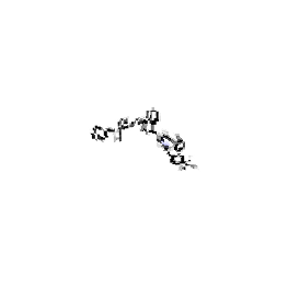 O=C(COc1ccc(/C(Cc2ccccc2)=N/OCc2ccc(C(F)(F)F)cc2)c2cccnc12)NCC1CCOCC1